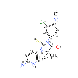 [C-]#[N+]c1ccc(N2C(=O)C(C)(C)N(c3ccc(N)nc3)C2=S)cc1Cl